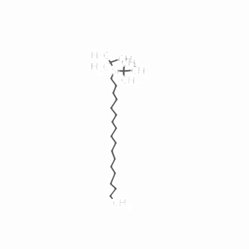 CCCCCCCCCCCCCCCCCC[Si](C(C)(C)C)C(C)(C)C